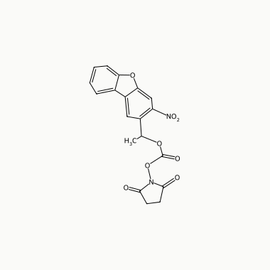 CC(OC(=O)ON1C(=O)CCC1=O)c1cc2c(cc1[N+](=O)[O-])oc1ccccc12